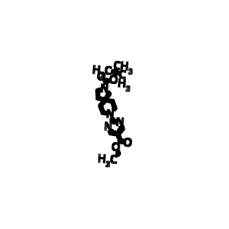 CCOC(=O)c1cnc(N2CCC3(CCN(C(=O)OC(C)(C)C)C3)CC2)nc1